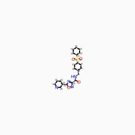 O=C(NCc1ccc(S(=O)(=O)c2ccccc2)cc1)c1noc(-c2cccnc2)n1